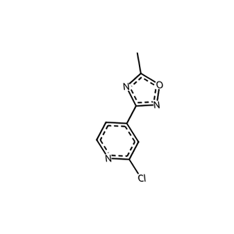 Cc1nc(-c2ccnc(Cl)c2)no1